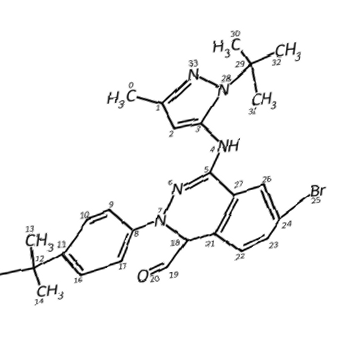 Cc1cc(NC2=NN(c3ccc(C(C)(C)C)cc3)C(C=O)c3ccc(Br)cc32)n(C(C)(C)C)n1